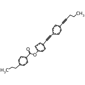 CCCC#Cc1ccc(C#Cc2ccc(OC(=O)c3ccc(CCC)cc3)cc2)cc1